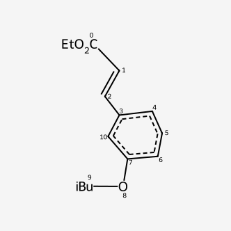 CCOC(=O)C=Cc1cccc(OC(C)CC)c1